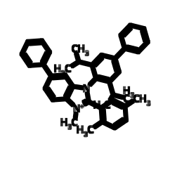 Cc1ccc(C)c(-c2n(-c3c(C(C)C)cc(-c4ccccc4)cc3C(C)C)c3cc(-c4ccccc4)ccc3[n+]2C)c1